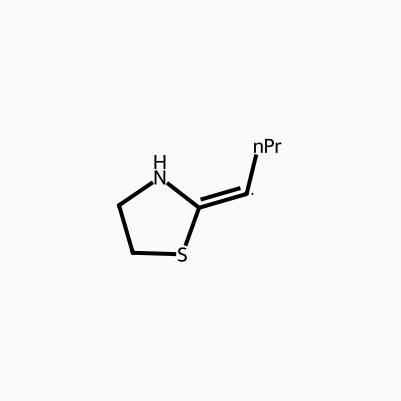 CCC/[C]=C1\NCCS1